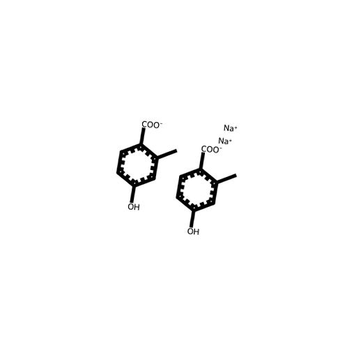 Cc1cc(O)ccc1C(=O)[O-].Cc1cc(O)ccc1C(=O)[O-].[Na+].[Na+]